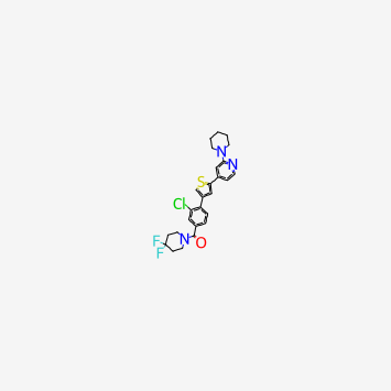 O=C(c1ccc(-c2csc(-c3ccnc(N4CCCCC4)c3)c2)c(Cl)c1)N1CCC(F)(F)CC1